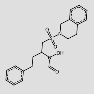 O=CN(O)C(CCc1ccccc1)CS(=O)(=O)N1CCc2ccccc2C1